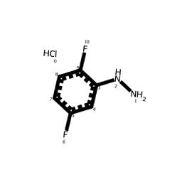 Cl.NNc1cc(F)ccc1F